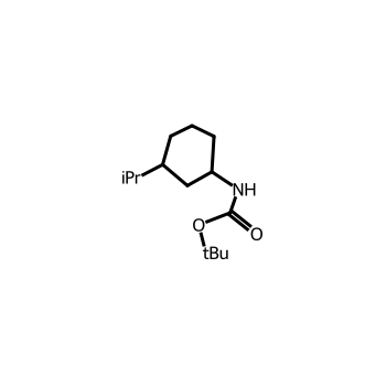 CC(C)C1CCCC(NC(=O)OC(C)(C)C)C1